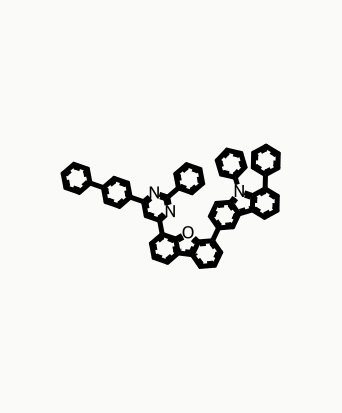 c1ccc(-c2ccc(-c3cc(-c4cccc5c4oc4c(-c6ccc7c(c6)c6cccc(-c8ccccc8)c6n7-c6ccccc6)cccc45)nc(-c4ccccc4)n3)cc2)cc1